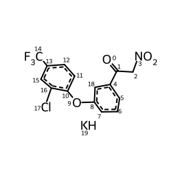 O=C(C[N+](=O)[O-])c1cccc(Oc2ccc(C(F)(F)F)cc2Cl)c1.[KH]